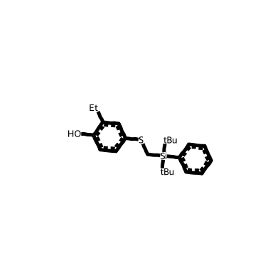 CCc1cc(SC[Si](c2ccccc2)(C(C)(C)C)C(C)(C)C)ccc1O